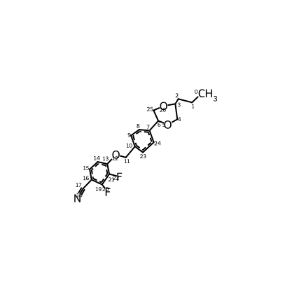 CCCC1COC(c2ccc(COc3ccc(C#N)c(F)c3F)cc2)CO1